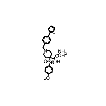 COc1ccc(S(=O)(=O)C2(C(=O)O)CCN(Cc3ccc(-c4cccs4)cc3)CC2)cc1.NO